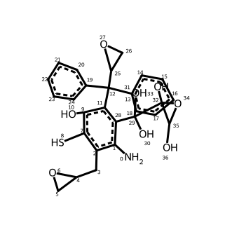 Nc1c(CC2CO2)c(S)c(O)c(C(c2ccccc2)(c2ccccc2)C2CO2)c1C(O)(O)C1(O)OC1O